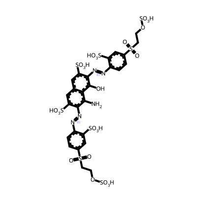 Nc1c(/N=N/c2ccc(S(=O)(=O)CCOS(=O)(=O)O)cc2S(=O)(=O)O)c(S(=O)(=O)O)cc2cc(S(=O)(=O)O)c(/N=N/c3ccc(S(=O)(=O)CCOS(=O)(=O)O)cc3S(=O)(=O)O)c(O)c12